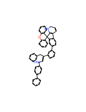 N=C(/C=C(\Cc1ccccc1)c1cccc(-c2ccc3c(c2)C2(C4=C3C=CCN4)c3ccccc3Oc3ccccc32)c1)c1ccc(-c2ccccc2)cc1